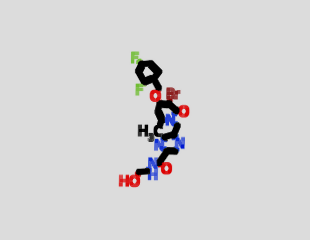 Cc1cc(OCc2ccc(F)cc2F)c(Br)c(=O)n1Cc1cnc(C(=O)NCCO)cn1